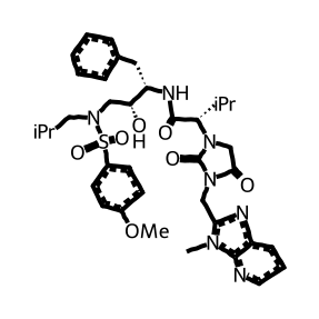 COc1ccc(S(=O)(=O)N(CC(C)C)C[C@@H](O)[C@H](Cc2ccccc2)NC(=O)[C@H](C(C)C)N2CC(=O)N(Cc3nc4cccnc4n3C)C2=O)cc1